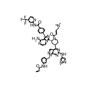 C=CC(=O)Nc1cccc(Cn2ncc3c(C4CCN(C(=O)/C=C/CN(C)C)[C@H](c5nc(-c6ccc(C(=O)Nc7cc(C(F)(F)F)ccn7)cc6)c6c(N)nccn56)C4)nc(Nc4cnn(C)c4)nc32)c1